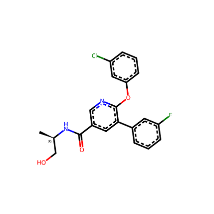 C[C@H](CO)NC(=O)c1cnc(Oc2cccc(Cl)c2)c(-c2cccc(F)c2)c1